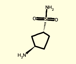 N[C@@H]1CC[C@@H](S(N)(=O)=O)C1